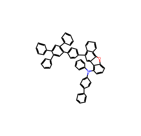 c1ccc(-c2ccc(N(c3ccccc3)c3cccc4oc5c6ccccc6c(-c6ccc(-c7cc(-c8ccccc8)c(-c8ccccc8)cc7-c7ccccc7)cc6)cc5c34)cc2)cc1